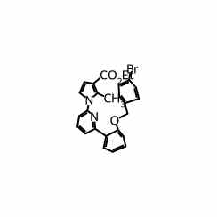 CCOC(=O)c1ccn(-c2cccc(-c3ccccc3OCc3ccc(Br)cc3)n2)c1C